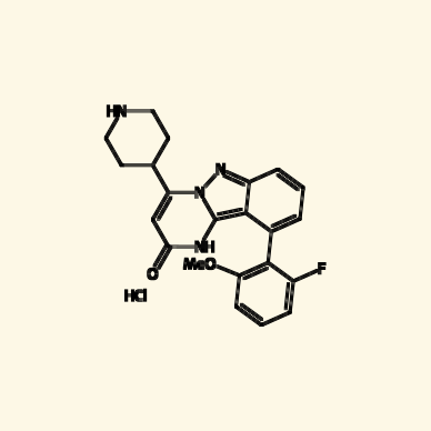 COc1cccc(F)c1-c1cccc2nn3c(C4CCNCC4)cc(=O)[nH]c3c12.Cl